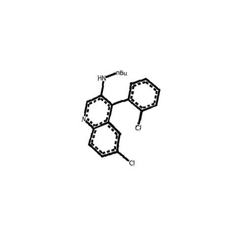 CCCCNc1cnc2ccc(Cl)cc2c1-c1ccccc1Cl